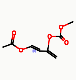 C=C(/C=C/OC(C)=O)OC(=O)OC